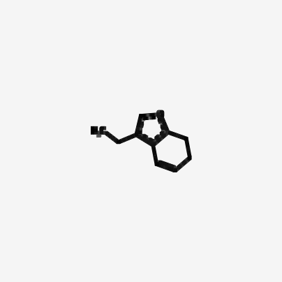 CCc1coc2c1C=CCC2